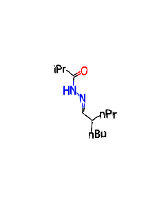 CCCCC(/C=N/NC(=O)C(C)C)CCC